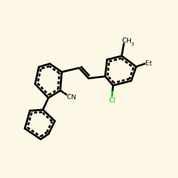 CCc1cc(Cl)c(/C=C/c2cccc(-c3ccccc3)c2C#N)cc1C